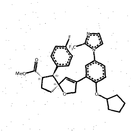 COC(=O)[C@H]1CC[C@@]2(C=C(c3cc(-n4ccnc4C(F)(F)F)ccc3OC3CCCC3)CO2)[C@@H]1c1ccc(F)cc1